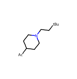 CC(=O)C1CCN(CCC(C)(C)C)CC1